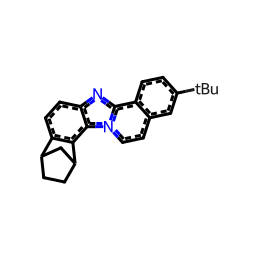 CC(C)(C)c1ccc2c(ccn3c2nc2ccc4c(c23)C2CCC4C2)c1